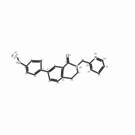 O=C1c2cc(-c3ccc(OC(F)(F)F)cc3)ccc2CCN1Cc1ccccn1